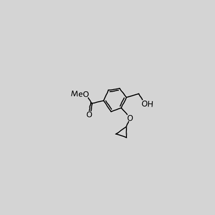 COC(=O)c1ccc(CO)c(OC2CC2)c1